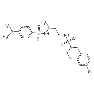 CC(CCNS(=O)(=O)N1CCc2cc(Cl)ccc2C1)NS(=O)(=O)c1ccc(N(C)C)cc1